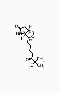 CC(C)(C)C(=O)CCCC[C@@H]1SC[C@@H]2CC(=O)N[C@@H]21